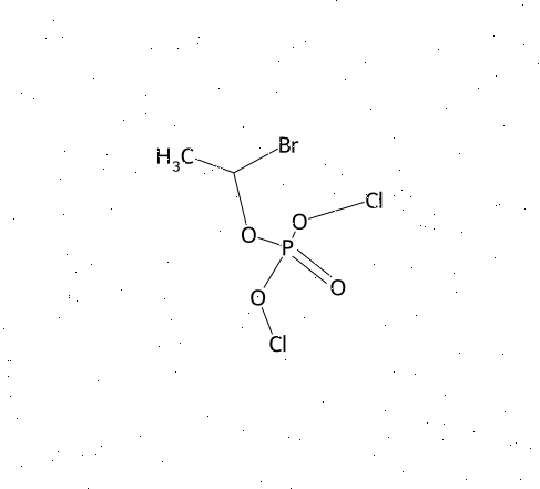 CC(Br)OP(=O)(OCl)OCl